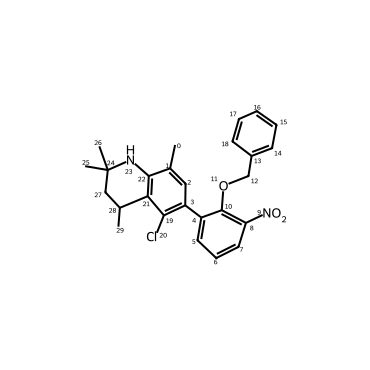 Cc1cc(-c2cccc([N+](=O)[O-])c2OCc2ccccc2)c(Cl)c2c1NC(C)(C)CC2C